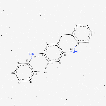 c1ccc2c(c1)Cc1cc3c(cc1N2)Cc1ccccc1N3